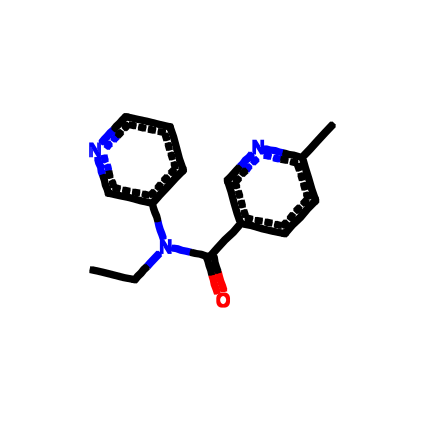 CCN(C(=O)c1ccc(C)nc1)c1cccnc1